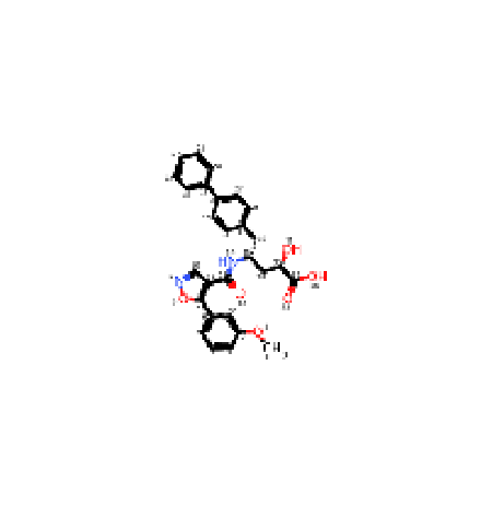 COc1cccc(-c2oncc2C(=O)N[C@H](Cc2ccc(-c3ccccc3)cc2)C[C@@H](O)C(=O)O)c1